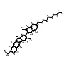 CCCCCCCCCCc1ccc2cc(-c3cc4sc5cc6cc(CC)ccc6cc5c4cc3C)c(C)cc2c1